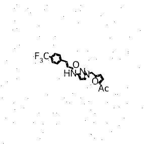 CC(=O)c1ccc(Cn2ccc(NC(=O)C=Cc3ccc(C(F)(F)F)cc3)n2)o1